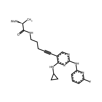 CN[C@@H](C)C(=O)NCCCC#Cc1cnc(Nc2cccc(F)n2)nc1NC1CC1